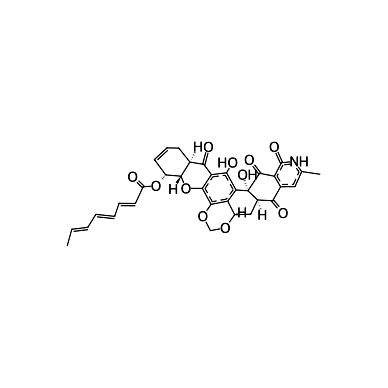 C/C=C/C=C/C=C/C(=O)O[C@@H]1C=CC[C@H]2C(=O)c3c(O)c4c5c(c3O[C@H]12)OCO[C@@H]5C[C@@H]1C(=O)c2cc(C)[nH]c(=O)c2C(=O)[C@]41O